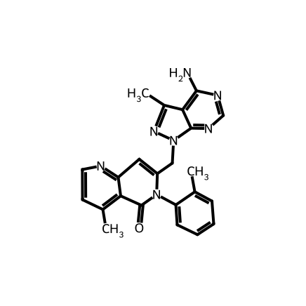 Cc1ccccc1-n1c(Cn2nc(C)c3c(N)ncnc32)cc2nccc(C)c2c1=O